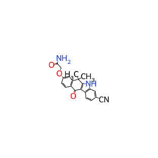 CC1(C)c2cc(OCC(N)=O)ccc2C(=O)c2c1[nH]c1cc(C#N)ccc21